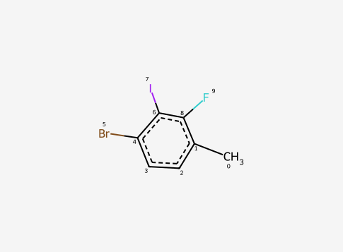 Cc1ccc(Br)c(I)c1F